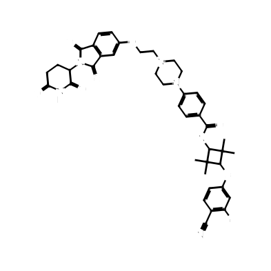 CC1(C)C(NC(=O)c2ccc(N3CCN(CCOc4ccc5c(c4)C(=O)N(C4CCC(=O)NC4=O)C5=O)CC3)cc2)C(C)(C)C1Oc1ccc(C#N)c(Cl)c1